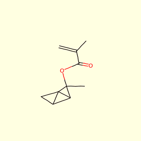 C=C(C)C(=O)OC1(C)C2C3CC321